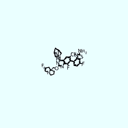 Nc1nc2c(-c3c(C(F)(F)F)cc4c(N5CC6CC(C5)N6)nc(OC[C@@]56CCCN5C[C@H](F)C6)nc4c3F)ccc(F)c2s1